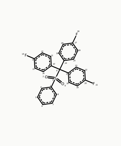 O=S(=O)(c1ccccc1)C(c1ccc(F)cc1)(c1ccc(F)cc1)c1ccc(F)cc1